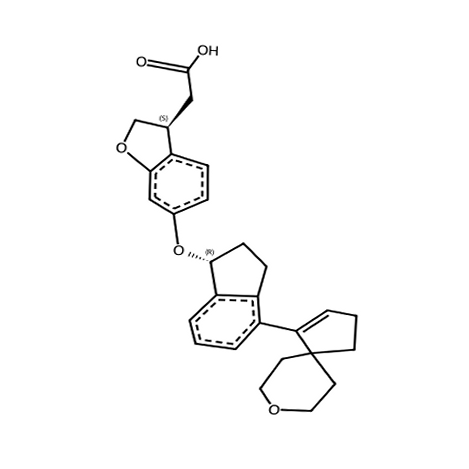 O=C(O)C[C@@H]1COc2cc(O[C@@H]3CCc4c(C5=CCCC56CCOCC6)cccc43)ccc21